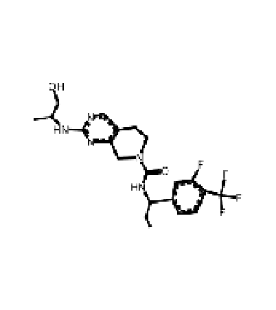 CCC(NC(=O)N1CCc2cnc(N[C@@H](C)CO)nc2C1)c1ccc(C(F)(F)F)c(F)c1